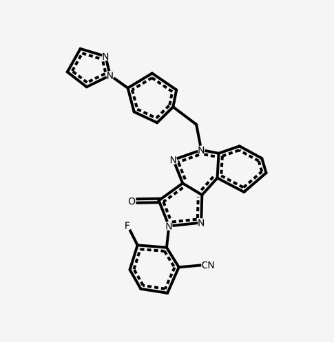 N#Cc1cccc(F)c1-n1nc2c3ccccc3n(Cc3ccc(-n4cccn4)cc3)nc-2c1=O